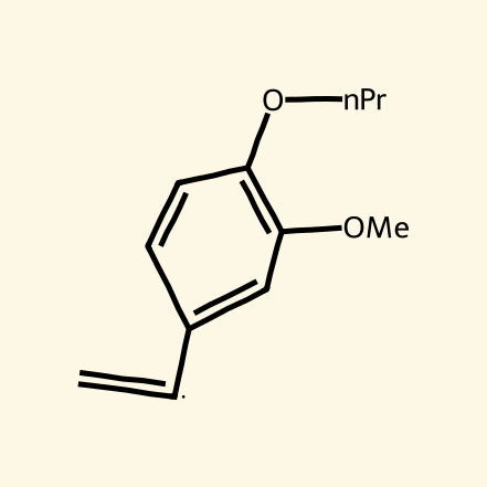 C=[C]c1ccc(OCCC)c(OC)c1